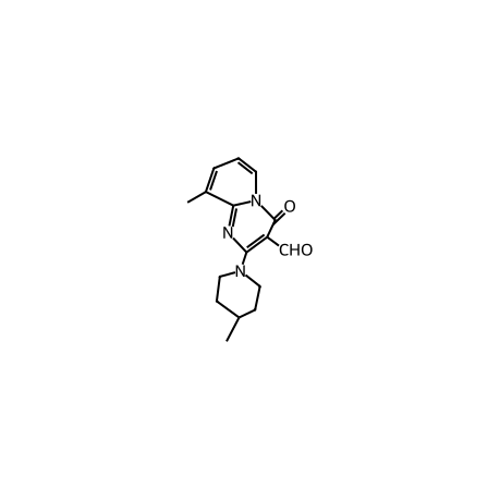 Cc1cccn2c(=O)c(C=O)c(N3CCC(C)CC3)nc12